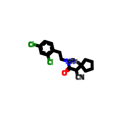 CCCC1(C(C#N)C(=O)NCCc2ccc(Cl)cc2Cl)CCCC1